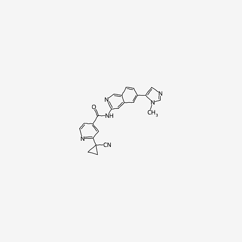 Cn1cncc1-c1ccc2cnc(NC(=O)c3ccnc(C4(C#N)CC4)c3)cc2c1